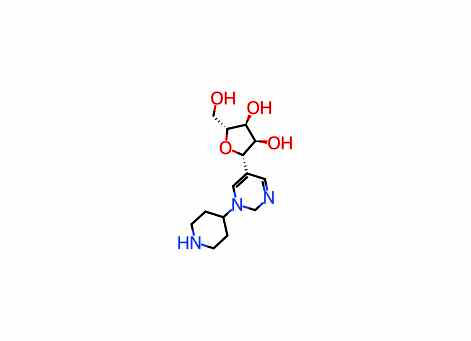 OC[C@H]1O[C@@H](C2=CN(C3CCNCC3)CN=C2)[C@H](O)[C@@H]1O